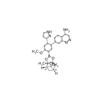 COc1cc(-c2cc[nH]n2)c(-c2ccc3c(N)cnnc3c2)cc1B1OC2C[C@@H]3C[C@@H](C3(C)C)[C@]2(C)O1